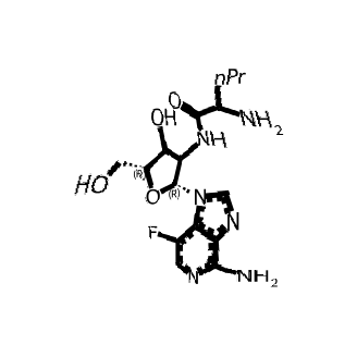 CCCC(N)C(=O)NC1C(O)[C@@H](CO)O[C@H]1n1cnc2c(N)ncc(F)c21